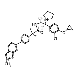 C[C@@H](NC(=O)C(F)(F)c1ccc(-c2ccc3cn(C)nc3c2)cc1)[C@](O)(c1ccc(OC2CC2)c(Cl)c1)N1CCCC1